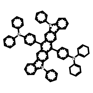 C1=CCCC(N(C2=CCCC=C2)c2ccc(-c3c4cc5c6ccccc6p(-c6ccccc6)c5cc4c(-c4ccc(N(c5ccccc5)c5ccccc5)cc4)c4cc5c6ccccc6p(-c6ccccc6)c5cc34)cc2)=C1